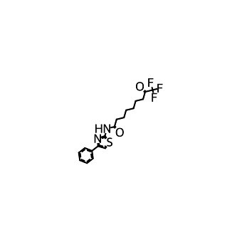 O=C(CCCCCCC(=O)C(F)(F)F)Nc1nc(-c2ccccc2)cs1